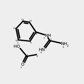 CC(=O)O.N=C(N)Nc1ccccc1